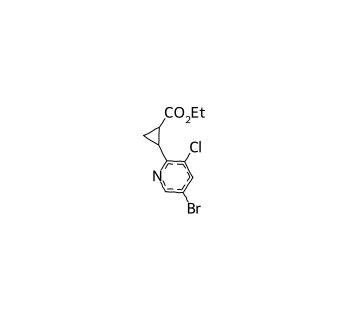 CCOC(=O)C1CC1c1ncc(Br)cc1Cl